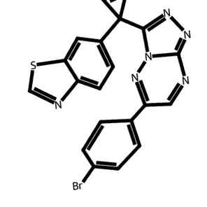 Brc1ccc(-c2cnc3nnc(C4(c5ccc6ncsc6c5)C=C4)n3n2)cc1